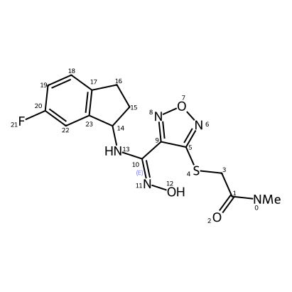 CNC(=O)CSc1nonc1/C(=N\O)NC1CCc2ccc(F)cc21